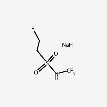 O=S(=O)(CCF)NC(F)(F)F.[NaH]